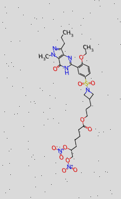 CCCc1nn(C)c2c(=O)[nH]c(-c3cc(S(=O)(=O)N4CC(CCCOC(=O)CCCCC(CO[N+](=O)[O-])O[N+](=O)[O-])C4)ccc3OCC)nc12